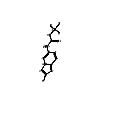 Cc1cc2ccc(NC(=O)OC(C)(C)C)cn2c1